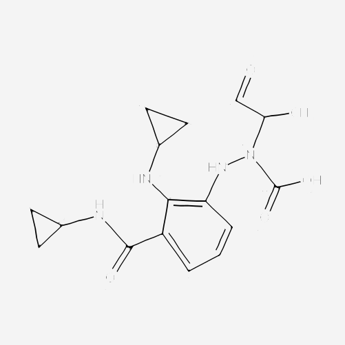 CC(C=O)N(Nc1cccc(C(=O)NC2CC2)c1NC1CC1)C(=O)O